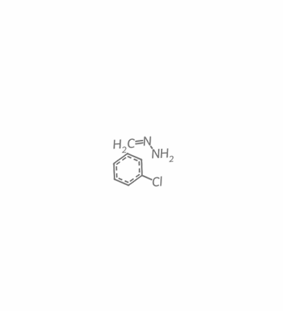 C=NN.Clc1ccccc1